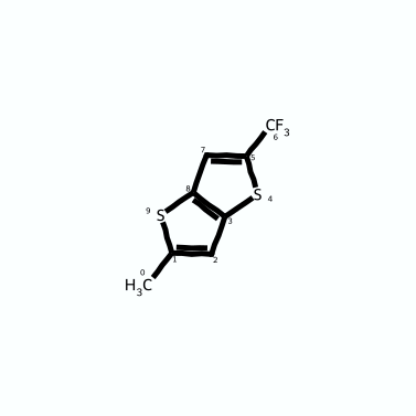 Cc1cc2sc(C(F)(F)F)cc2s1